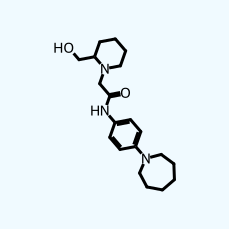 O=C(CN1CCCCC1CO)Nc1ccc(N2CCCCCC2)cc1